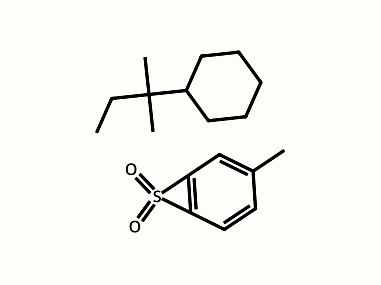 CCC(C)(C)C1CCCCC1.Cc1ccc2c(c1)S2(=O)=O